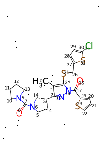 Cc1c(C2CCN(C(=O)N3CCCC3)C2)nn(C(=O)c2cccs2)c1SCc1ccc(Cl)s1